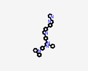 C1=CC(c2nc(-c3ccc(-c4ccc5ccc(-c6ccc7ccc(C8=NCCC=C8)nc7c6)cc5n4)cc3)cc(-c3ccc(-n4c5c(c6ccccc64)CCC=C5)cc3)n2)=CCC1